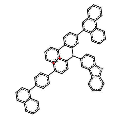 c1ccc(-c2ccc(-c3cc4ccccc4c4ccccc34)cc2N(c2ccc(-c3ccc(-c4cccc5ccccc45)cc3)cc2)c2ccc3oc4ccccc4c3c2)cc1